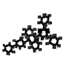 c1ccc(-c2ccc(-c3c4ccccc4c(-c4cc(-c5ccccc5)nc(-c5ccccc5)n4)c4ccccc34)cc2)cc1